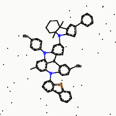 Cc1cc2c3c(c1)N(c1cccc4c1sc1ccccc14)c1ccc(C(C)(C)C)cc1B3c1ccc(N3c4ccc(-c5ccccc5)cc4C4(C)CCCCC34C)cc1N2c1ccc(C(C)(C)C)cc1